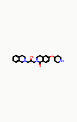 O=C1c2ccc(OC3CCNCC3)cc2CCN1CC(O)CN1CCc2ccccc2C1